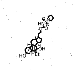 CC[C@H]1[C@@H](O)[C@@H]2[C@H](CC[C@]3(C)[C@@H](CCOC(=O)NS(=O)(=O)N4CCCC4)CC[C@@H]23)[C@@]2(C)CC[C@@H](O)C[C@@H]12